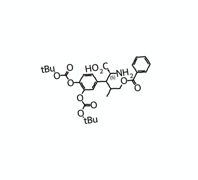 CC(COC(=O)c1ccccc1)C(c1ccc(OC(=O)OC(C)(C)C)c(OC(=O)OC(C)(C)C)c1)[C@H](N)C(=O)O